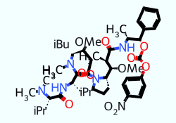 CC[C@H](C)[C@@H](C(CC(=O)N1CCC[C@H]1[C@H](OC)[C@@H](C)C(=O)N[C@H](C)[C@@H](OC(=O)Oc1ccc([N+](=O)[O-])cc1)c1ccccc1)OC)N(C)C(=O)[C@@H](NC(=O)[C@H](C(C)C)N(C)C)C(C)C